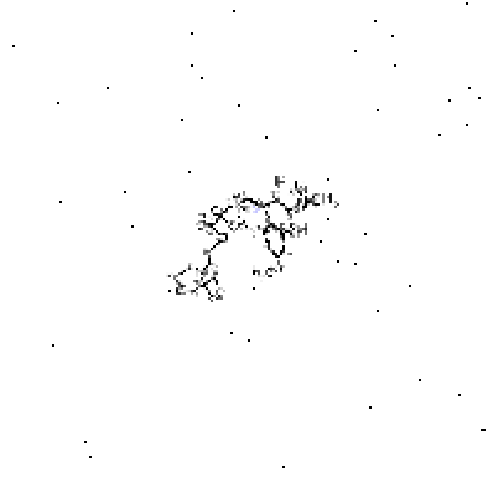 COc1ccc(/C(=C\NCC(C)(C)C(=O)OCCN2CCOCC23COC3)CCN(C)C)c(S)c1